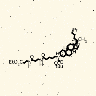 CCOC(=O)CCNC(=O)CCNC(=O)CCCCN(C(=O)OC(C)(C)C)[C@H]1CC[C@@]2(C)C(=CC[C@H]3[C@@H]4CC[C@H]([C@H](C)CCCC(C)C)[C@@]4(C)CC[C@@H]32)C1